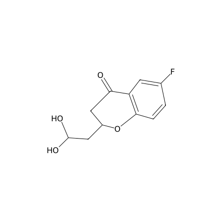 O=C1CC(CC(O)O)Oc2ccc(F)cc21